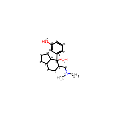 CN(C)CC1CCC2CCCC2C1(O)c1cccc(O)c1